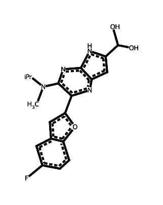 CC(C)N(C)c1nc2[nH]c(C(O)O)cc2nc1-c1cc2cc(F)ccc2o1